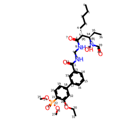 CCCCC[C@@H](C(=O)NCNC(=O)c1cccc(-c2ccc(P(=O)(OC)OC)c(OCC)c2)c1)[C@@H](CC)N(O)C=O